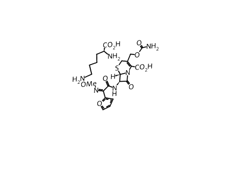 CO/N=C(\C(=O)N[C@@H]1C(=O)N2C(C(=O)O)=C(COC(N)=O)CS[C@@H]12)c1ccco1.NCCCC[C@H](N)C(=O)O